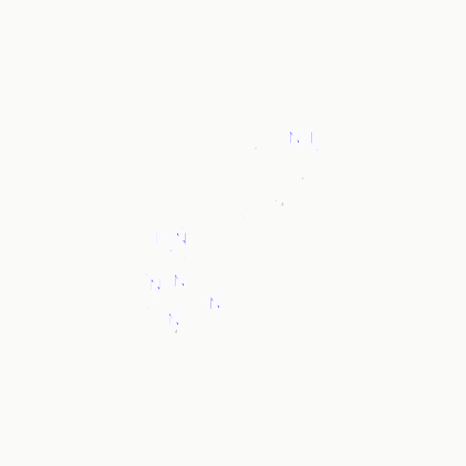 Cc1nc2ncnn2c(N)c1C#Cc1ccc(N)cc1